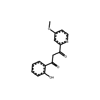 COc1ccnc(C(=O)CC(=O)c2ccccc2O)c1